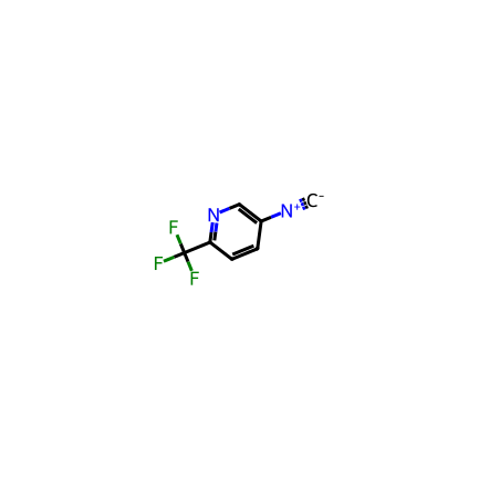 [C-]#[N+]c1ccc(C(F)(F)F)nc1